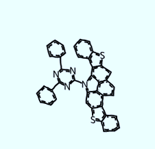 c1ccc(-c2nc(-c3ccccc3)nc(-n3c4cc5sc6ccccc6c5c5ccc6cc7sc8ccccc8c7c3c6c54)n2)cc1